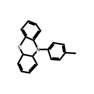 Cc1ccc(N2c3ccccc3SC3C=CC=CC32)cc1